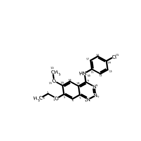 CCOc1cc2nnnc(Nc3ccc(Cl)cc3)c2cc1OC